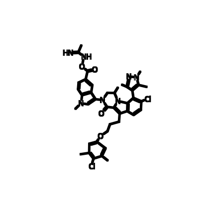 CC(=N)NOC(=O)c1ccc2c(c1)c(N1CC(C)n3c(c(CCCOc4cc(C)c(Cl)c(C)c4)c4ccc(Cl)c(-c5c(C)nn(C)c5C)c43)C1=O)cn2C